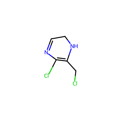 ClCC1=C(Cl)N=CCN1